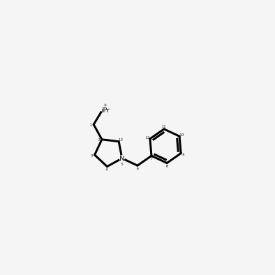 CC(C)CC1CCN(Cc2ccccc2)C1